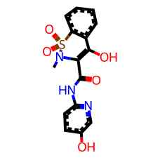 CN1C(C(=O)Nc2ccc(O)cn2)=C(O)c2ccccc2S1(=O)=O